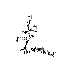 CC(O)C(=O)[O-].O=P([O-])([O-])[O-].[Cl-].[K+].[Na+].[Na+].[Na+].[Na+]